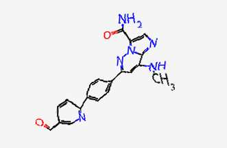 CNc1cc(-c2ccc(-c3ccc(C=O)cn3)cc2)nn2c(C(N)=O)cnc12